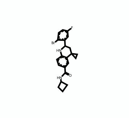 O=C(NC1CCC1)c1ccc2c(c1)C1(CC1)CC(c1cc(F)ccc1Br)N2